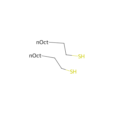 CCCCCCCCCCS.CCCCCCCCCCS